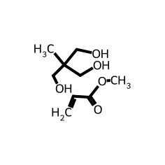 C=CC(=O)OC.CC(CO)(CO)CO